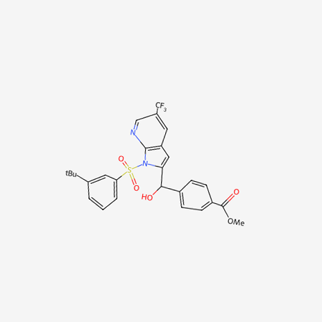 COC(=O)c1ccc(C(O)c2cc3cc(C(F)(F)F)cnc3n2S(=O)(=O)c2cccc(C(C)(C)C)c2)cc1